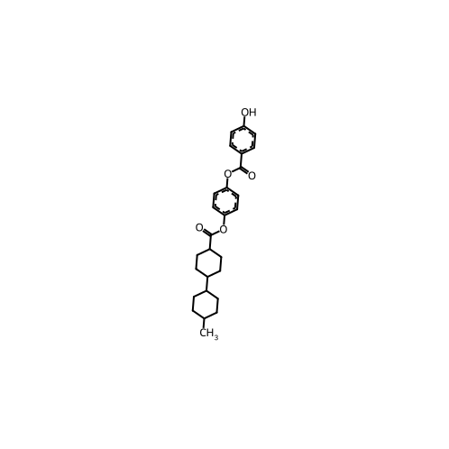 CC1CCC(C2CCC(C(=O)Oc3ccc(OC(=O)c4ccc(O)cc4)cc3)CC2)CC1